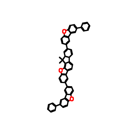 CC1(C)c2c(ccc3c2oc2ccc(-c4ccc5oc6ccc(-c7ccccc7)cc6c5c4)cc23)C2C=CC(c3ccc4oc5ccc(-c6ccccc6)cc5c4c3)=CC21